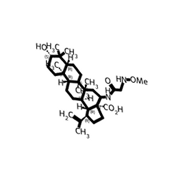 C=C(C)[C@@H]1CC[C@]2(C(=O)O)C(NC(=O)CNOC)C[C@]3(C)[C@H](CC[C@@H]4[C@@]5(C)CC[C@H](O)C(C)(C)[C@@H]5CC[C@]43C)[C@@H]12